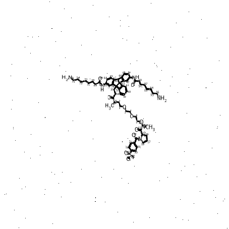 CN(CCOCCOCCON(C)C(=O)C1CCCN1C(=O)c1ccc(S(=O)(=O)F)cc1)C(=O)CCC12c3c#cccc3C13c1cc(NC(=O)CCCCCCCN)ccc1C3c1ccc(NC(=O)CCCCCCCN)cc12